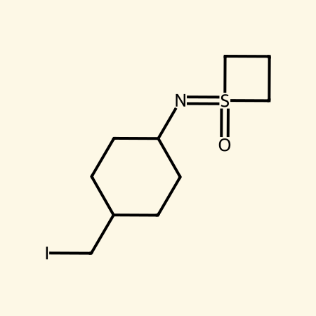 O=S1(=NC2CCC(CI)CC2)CCC1